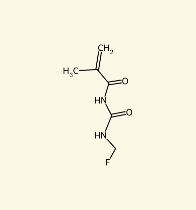 C=C(C)C(=O)NC(=O)NCF